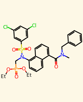 CCOP(=O)(CN(c1cccc2c(C(=O)N(C)Cc3ccccc3)cccc12)S(=O)(=O)c1cc(Cl)cc(Cl)c1)OCC